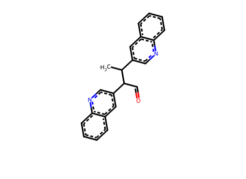 [CH2]C(c1cnc2ccccc2c1)C(C=O)c1cnc2ccccc2c1